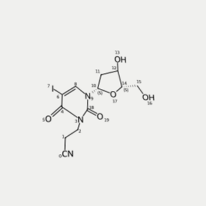 N#CCCn1c(=O)c(I)cn([C@@H]2CC(O)[C@H](CO)O2)c1=O